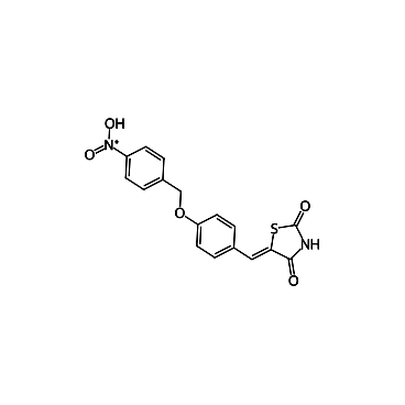 O=C1NC(=O)/C(=C/c2ccc(OCc3ccc([N+](=O)O)cc3)cc2)S1